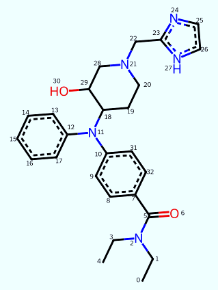 CCN(CC)C(=O)c1ccc(N(c2ccccc2)C2CCN(Cc3ncc[nH]3)CC2O)cc1